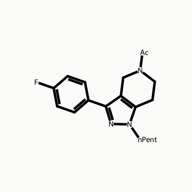 CCCCCn1nc(-c2ccc(F)cc2)c2c1CCN(C(C)=O)C2